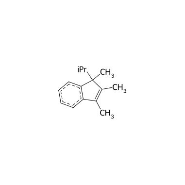 CC1=C(C)C(C)(C(C)C)c2ccccc21